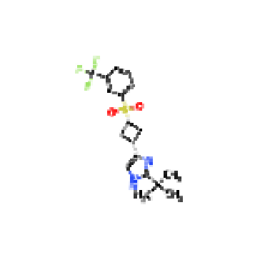 CC(C)(C)c1nc([C@H]2C[C@@H](S(=O)(=O)c3cccc(C(F)(F)F)c3)C2)c[nH]1